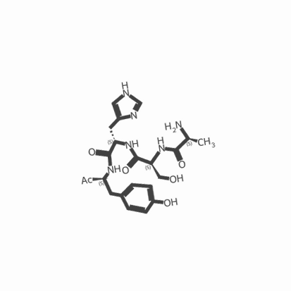 CC(=O)[C@H](Cc1ccc(O)cc1)NC(=O)[C@H](Cc1c[nH]cn1)NC(=O)[C@H](CO)NC(=O)[C@H](C)N